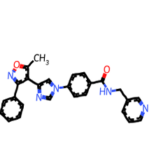 Cc1onc(-c2ccccc2)c1-c1cn(-c2ccc(C(=O)NCc3cccnc3)cc2)cn1